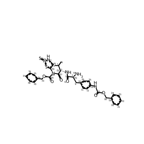 CC(C)[C@H](NC(=O)[C@@H](N)Cc1ccc(NC(=O)OCc2ccccc2)cc1)C(=O)N(C(=O)OCc1ccccc1)c1c[nH][n+](=S)s1